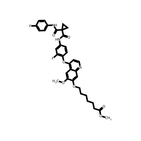 COC(=O)CCCCCCOc1cc2nccc(Oc3ccc(NC(=O)C4(C(=O)Nc5ccc(F)cc5)CC4)cc3F)c2cc1OC